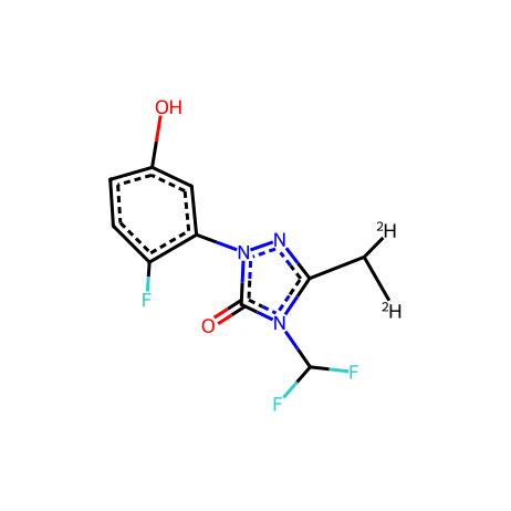 [2H]C([2H])c1nn(-c2cc(O)ccc2F)c(=O)n1C(F)F